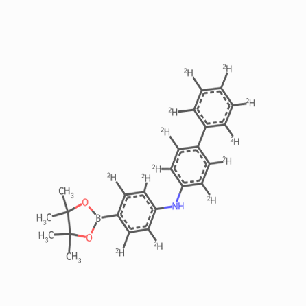 [2H]c1c([2H])c([2H])c(-c2c([2H])c([2H])c(Nc3c([2H])c([2H])c(B4OC(C)(C)C(C)(C)O4)c([2H])c3[2H])c([2H])c2[2H])c([2H])c1[2H]